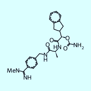 CNC(=N)c1ccc(CNC(=O)[C@H](C)NC(=O)[C@H](OC(N)=O)C2Cc3ccccc3C2)cc1